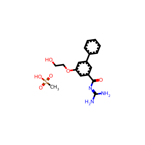 CS(=O)(=O)O.NC(N)=NC(=O)c1cc(OCCO)cc(-c2ccccc2)c1